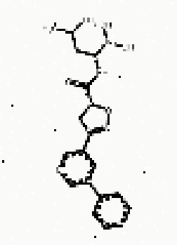 CC(C)CC(NC(=O)C1CC(c2cncc(-c3ccccc3)c2)=NO1)B(O)O